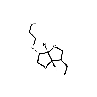 CC[C@@H]1CO[C@H]2[C@H]1OC[C@@H]2OCCO